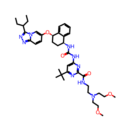 CCC(CC)c1nnc2ccc(O[C@@H]3CC[C@H](NC(=O)Nc4cc(C(C)(C)C)nc(C(=O)NCCN(CCOC)CCOC)n4)c4ccccc43)cn12